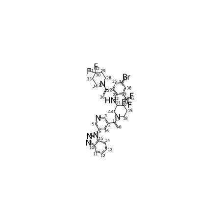 C=C(c1cncc(-n2nnc3ccccc32)c1)N1CCCC(Nc2c(C(=C)N3CCC(F)(F)CC3)cc(Br)cc2C(F)(F)F)C1